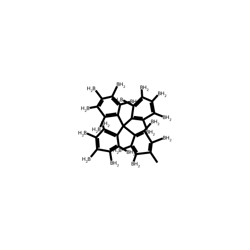 Bc1c(B)c(B)c(C(c2c(B)c(B)c(B)c(B)c2B)(c2c(B)c(B)c(B)c(B)c2B)c2c(B)c(B)c(C)c(B)c2B)c(B)c1B